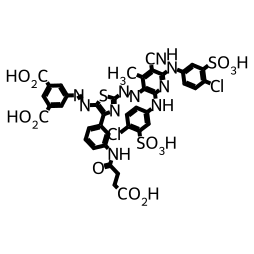 Cc1c(C#N)c(Nc2ccc(Cl)c(S(=O)(=O)O)c2)nc(Nc2ccc(Cl)c(S(=O)(=O)O)c2)c1N=Nc1nc(-c2cccc(NC(=O)CCC(=O)O)c2)c(N=Nc2cc(C(=O)O)cc(C(=O)O)c2)s1